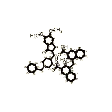 COc1cc2c(cc1OC)C(=O)C(CC1CCN(Cc3ccccc3)CC1)C2.O=C(O)c1cc2ccccc2c(Cc2c(O)c(C(=O)O)cc3ccccc23)c1O